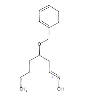 C=CCCC(C/C=N/O)OCc1ccccc1